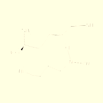 CN(C)CCCO.NCCCC[C@H](N)C(=O)O